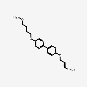 CCCCCC/C=C/COc1ccc(-c2ncc(OCCCCOCCCCCC)cn2)cc1